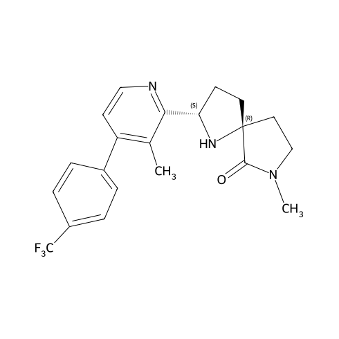 Cc1c(-c2ccc(C(F)(F)F)cc2)ccnc1[C@@H]1CC[C@]2(CCN(C)C2=O)N1